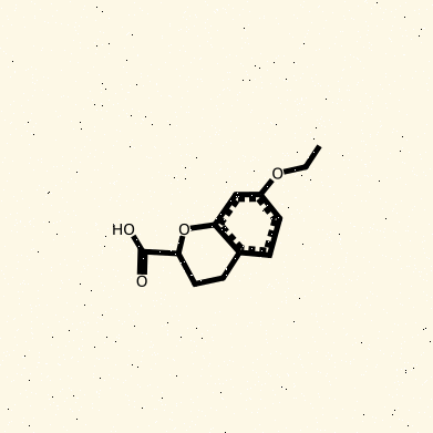 CCOc1ccc2c(c1)OC(C(=O)O)CC2